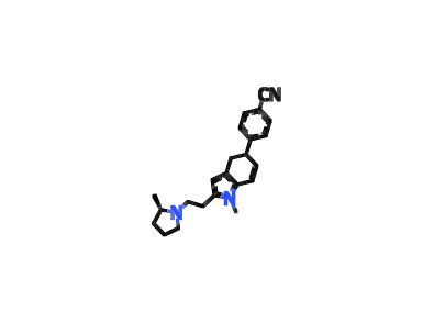 C[C@@H]1CCCN1CCc1cc2c(n1C)C=CC(c1ccc(C#N)cc1)C2